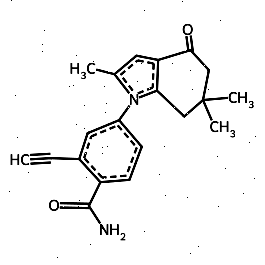 C#Cc1cc(-n2c(C)cc3c2CC(C)(C)CC3=O)ccc1C(N)=O